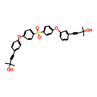 CC(C)(O)C#Cc1ccc(Oc2ccc(S(=O)(=O)c3ccc(Oc4cccc(C#CC(C)(C)O)c4)cc3)cc2)cc1